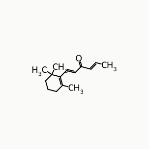 CC=CC(=O)C=CC1=C(C)CCCC1(C)C